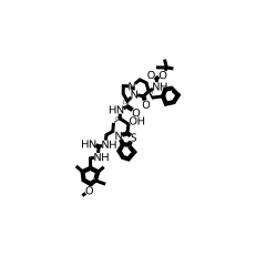 COc1cc(C)c(CNC(=N)NCCC[C@H](NC(=O)[C@@H]2CCN3CC[C@](Cc4ccccc4)(NC(=O)OC(C)(C)C)C(=O)N23)C(O)c2nc3ccccc3s2)c(C)c1C